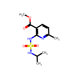 COC(=O)c1ccc(C)nc1NS(=O)(=O)NC(C)C